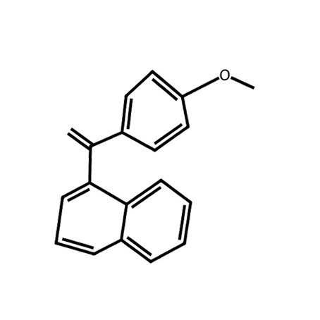 C=C(c1ccc(OC)cc1)c1cccc2ccccc12